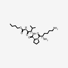 CCCCOC(=O)NC(=O)[C@@H](NC(=O)[C@@H]1CCCN1C(=O)[C@@H](N)CCCCN)C(C)C